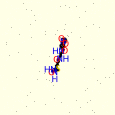 O=C(CCCCC1SCC2NC(=O)NC21)NCCCCNC(=O)C1CCC(CN2C(=O)C=CC2=O)CC1